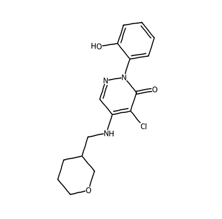 O=c1c(Cl)c(NCC2CCCOC2)cnn1-c1ccccc1O